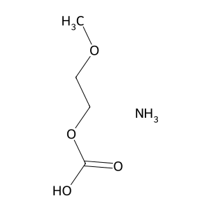 COCCOC(=O)O.N